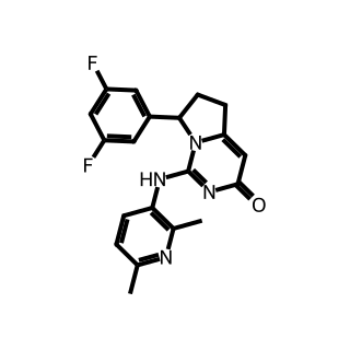 Cc1ccc(Nc2nc(=O)cc3n2C(c2cc(F)cc(F)c2)CC3)c(C)n1